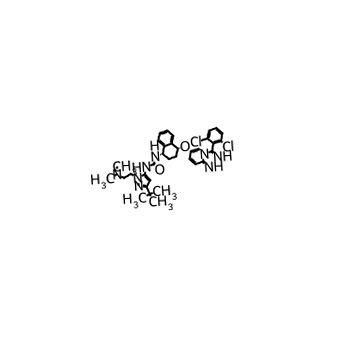 CN(C)CCn1nc(C(C)(C)C)cc1NC(=O)N[C@H]1CC[C@@H](Oc2ccc(=N)n(C(=N)c3c(Cl)cccc3Cl)c2)c2ccccc21